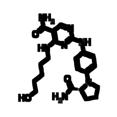 NC(=O)c1cnc(Nc2ccc(N3CCC[C@@H]3C(N)=O)cc2)nc1NCCCCCO